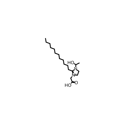 CCCCCCCCCCCCC1=[N+](CC(=O)O)CCN1C(C)O